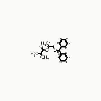 C=C(C)C(=O)OC(C)COC(c1ccccc1)c1ccccc1